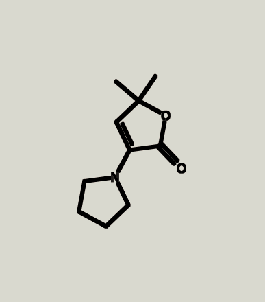 CC1(C)C=C(N2CCCC2)C(=O)O1